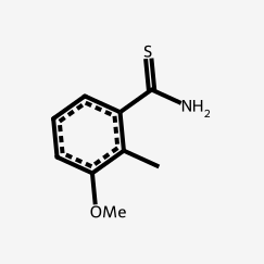 COc1cccc(C(N)=S)c1C